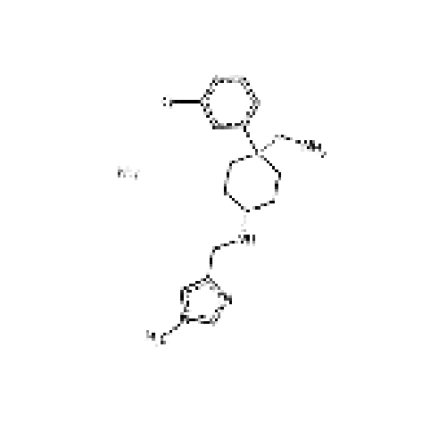 Cl.Cn1cnc(CN[C@H]2CC[C@](CN)(c3cccc(Cl)c3)CC2)c1